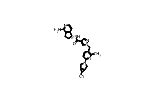 Cc1nc(N2CC3C(C#N)C3C2)ccc1Cn1cc(C(=O)N[C@@H]2CCc3c2ccnc3N)cn1